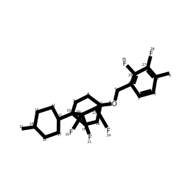 Cc1ccc(COC23CCC(C4CCC(C)CC4)(CC2)C(F)(F)C3F)c(F)c1F